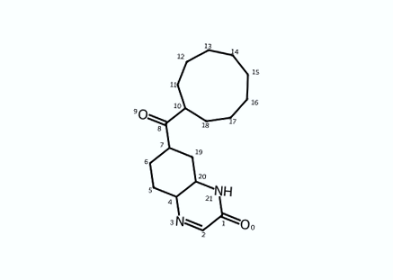 O=C1C=NC2CCC(C(=O)C3CCCCCCCC3)CC2N1